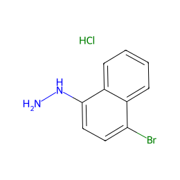 Cl.NNc1ccc(Br)c2ccccc12